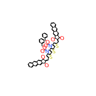 O=C1C(=Cc2cc3c(s2)c2sc4c5sc(C=C6C(=O)c7cc8cc9ccccc9cc8cc7C6=O)cc5n(C(=O)OCc5ccccc5)c4c2n3C(=O)OCc2ccccc2)C(=O)c2cc3cc4ccccc4cc3cc21